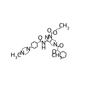 C=CCOC(=O)n1nc(NC(=O)c2ccc(N3CCN(C)CC3)cc2)c2c1CN(C(=O)C(OC)c1ccccc1)C2